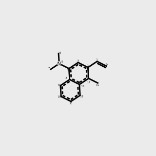 C=Cc1cc(N(C)C)c2ccccc2c1C